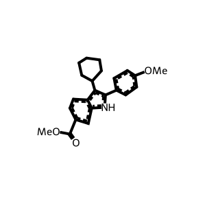 COC(=O)c1ccc2c(C3CCCCC3)c(-c3ccc(OC)cc3)[nH]c2c1